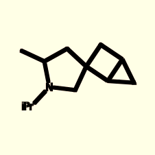 CC(C)N1CC2(CC3CC32)CC1C